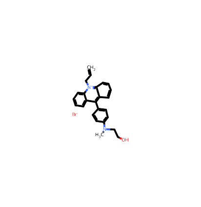 C=CC[n+]1c2ccccc2c(-c2ccc(N(C)CCO)cc2)c2ccccc21.[Br-]